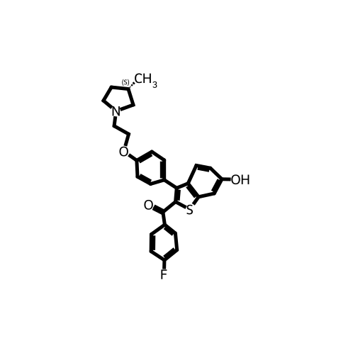 C[C@H]1CCN(CCOc2ccc(-c3c(C(=O)c4ccc(F)cc4)sc4cc(O)ccc34)cc2)C1